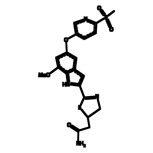 COc1cc(Oc2ccc(S(C)(=O)=O)nc2)cc2cc(C3=NCC(CC(N)=O)S3)[nH]c12